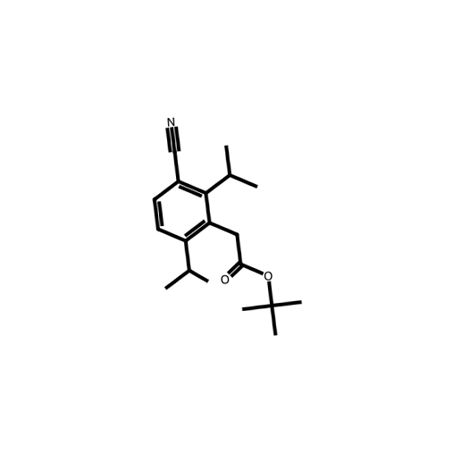 CC(C)c1ccc(C#N)c(C(C)C)c1CC(=O)OC(C)(C)C